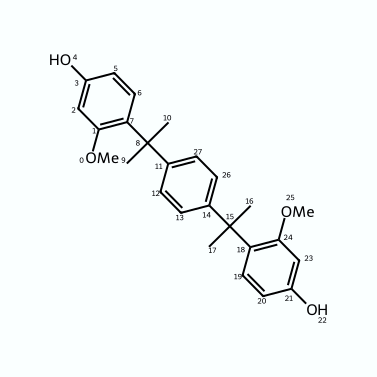 COc1cc(O)ccc1C(C)(C)c1ccc(C(C)(C)c2ccc(O)cc2OC)cc1